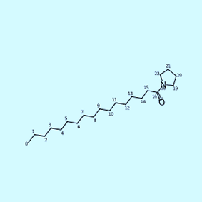 CCCCCCCCCCCCCCCCC(=O)N1CCCC1